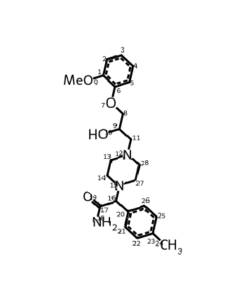 COc1ccccc1OCC(O)CN1CCN(C(C(N)=O)c2ccc(C)cc2)CC1